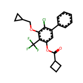 O=C(Oc1cc(-c2ccccc2)c(Cl)c(OCC2CC2)c1C(F)(F)F)C1CCC1